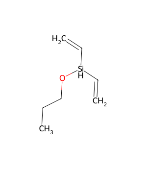 C=C[SiH](C=C)OCCC